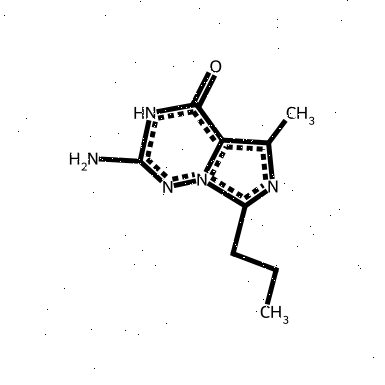 CCCc1nc(C)c2c(=O)[nH]c(N)nn12